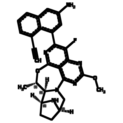 C#Cc1cccc2cc(N)cc(-c3nc4c5c(nc(OC)nc5c3F)N3C[C@H]5CC[C@H](N5)[C@H]3[C@H](C)O4)c12